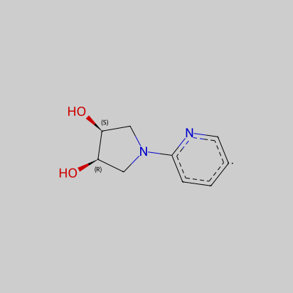 O[C@@H]1CN(c2cc[c]cn2)C[C@@H]1O